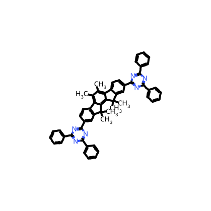 Cc1c(C)c2c(c3c1-c1ccc(-c4nc(-c5ccccc5)nc(-c5ccccc5)n4)cc1C3(C)C)C(C)(C)c1cc(-c3nc(-c4ccccc4)nc(-c4ccccc4)n3)ccc1-2